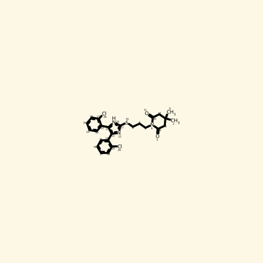 CC1(C)CC(=O)N(CCCSc2nc(-c3ccccc3Cl)c(-c3ccccc3Cl)[nH]2)C(=O)C1